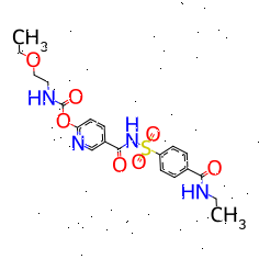 CCNC(=O)c1ccc(S(=O)(=O)NC(=O)c2ccc(OC(=O)NCCOCC)nc2)cc1